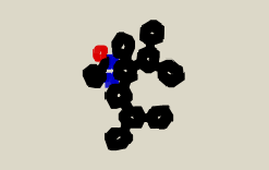 O=C1c2ccccc2-n2c3ccc(-c4cc(-c5ccccc5)cc(-c5ccccc5)c4)cc3c3cc(-c4cc(-c5ccccc5)cc(-c5ccccc5)c4)c4c(c32)N1C1C=CC=CC41